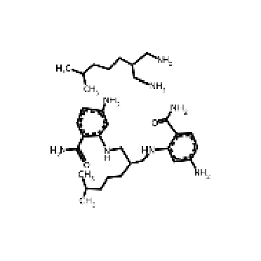 CC(C)CCCC(CN)CN.CC(C)CCCC(CNc1cc(N)ccc1C(N)=O)CNc1cc(N)ccc1C(N)=O